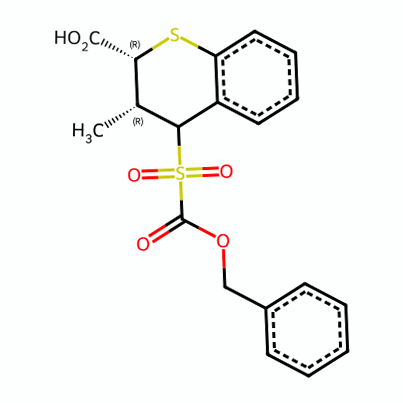 C[C@H]1C(S(=O)(=O)C(=O)OCc2ccccc2)c2ccccc2S[C@H]1C(=O)O